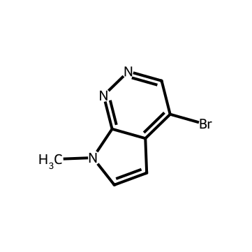 Cn1ccc2c(Br)cnnc21